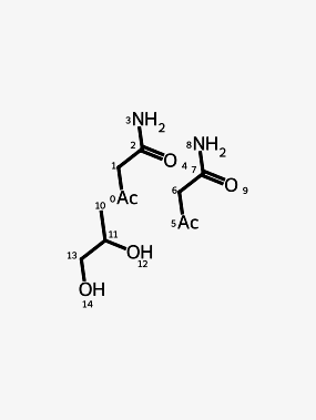 CC(=O)CC(N)=O.CC(=O)CC(N)=O.CC(O)CO